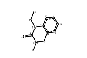 CCN1C(=O)N(C)Cc2ccccc21